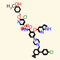 C[C@]1(O)CC[C@H](COc2ncc(S(=O)(=O)NC(=O)c3ccc(N4CCN(CC5=C(c6ccc(Cl)cc6)CC6(CC5)CC6)CC4)cc3Oc3cnc4[nH]ccc4c3)cc2Cl)CC1